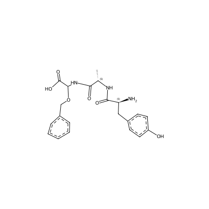 C[C@H](NC(=O)[C@@H](N)Cc1ccc(O)cc1)C(=O)NC(OCc1ccccc1)C(=O)O